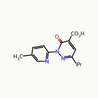 Cc1ccc(-n2nc(C(C)C)cc(C(=O)O)c2=O)nc1